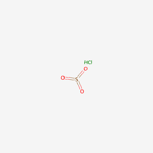 Cl.O=S(=O)=O